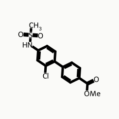 COC(=O)c1ccc(-c2ccc(NS(C)(=O)=O)cc2Cl)cc1